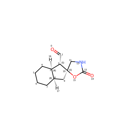 O=C[C@H]1[C@@H]2CCCC[C@@H]2C[C@@]12CNC(=O)O2